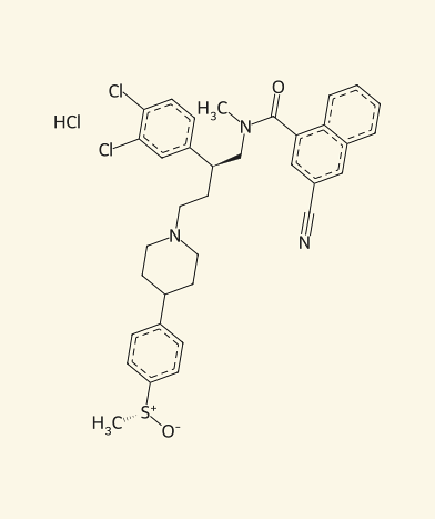 CN(C[C@@H](CCN1CCC(c2ccc([S@@+](C)[O-])cc2)CC1)c1ccc(Cl)c(Cl)c1)C(=O)c1cc(C#N)cc2ccccc12.Cl